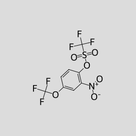 O=[N+]([O-])c1cc(OC(F)(F)F)ccc1OS(=O)(=O)C(F)(F)F